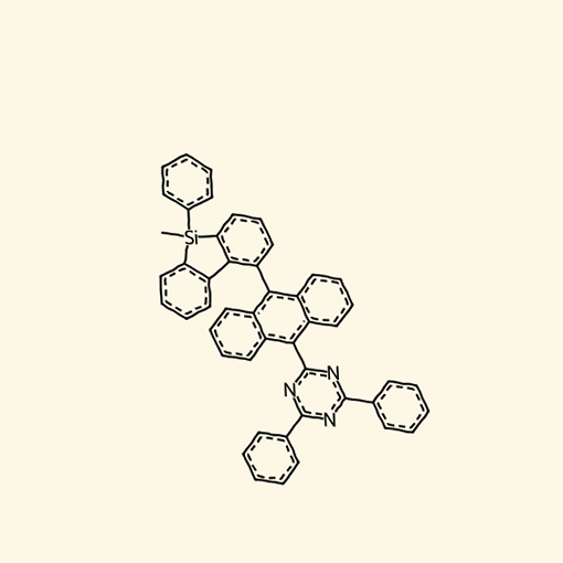 C[Si]1(c2ccccc2)c2ccccc2-c2c(-c3c4ccccc4c(-c4nc(-c5ccccc5)nc(-c5ccccc5)n4)c4ccccc34)cccc21